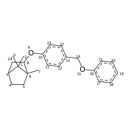 CC1(C)C2CCC1(C)C(Oc1ccc(COc3ccccc3)cc1)C2